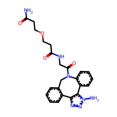 NC(=O)CCOCCC(=O)NCC(=O)N1Cc2ccccc2-c2nnn(N)c2-c2ccccc21